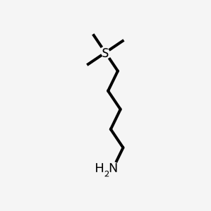 CS(C)(C)CCCCCN